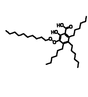 CCCCCCCCCCOOc1c(O)c(C(=O)O)c(CCCCCC)c(CCCCCC)c1CCCCCC